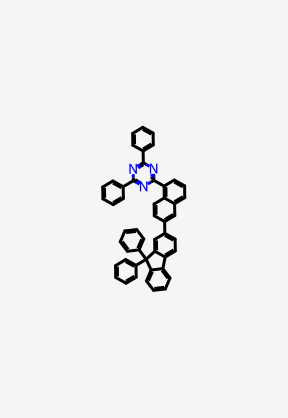 c1ccc(-c2nc(-c3ccccc3)nc(-c3cccc4cc(-c5ccc6c(c5)C(c5ccccc5)(c5ccccc5)c5ccccc5-6)ccc34)n2)cc1